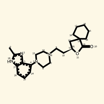 Cc1nc2c(N3CCN(CC[C@H]4CC5(CCCCC5)C(=O)O4)CC3)cccc2[nH]1